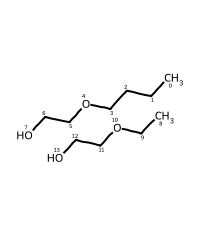 CCCCOCCO.CCOCCO